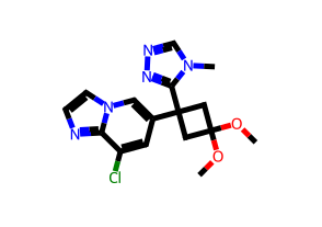 COC1(OC)CC(c2cc(Cl)c3nccn3c2)(c2nncn2C)C1